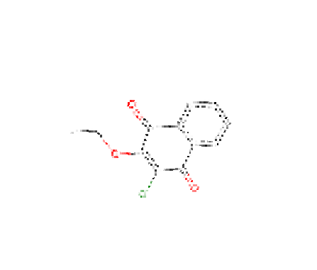 CCOC1=C(Cl)C(=O)c2ccccc2C1=O